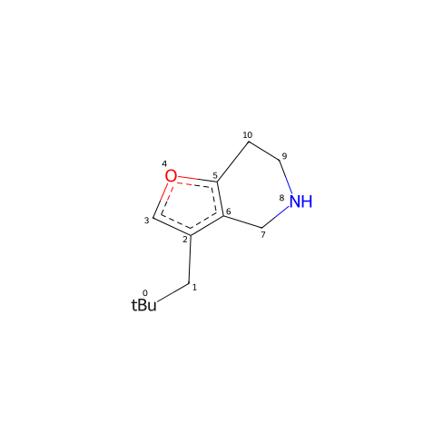 CC(C)(C)Cc1coc2c1CNCC2